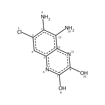 Nc1c(Cl)cc2nc(O)c(O)nc2c1N